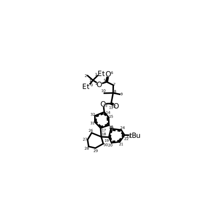 CCC(C)(CC)OC(=O)CC(C)(C)C(=O)Oc1ccc(C2(c3ccc(C(C)(C)C)cc3)CCCCC2)cc1